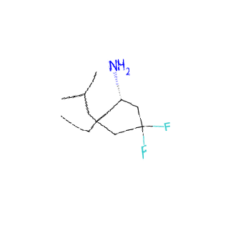 CCC1(C(C)C)CC(F)(F)C[C@H]1N